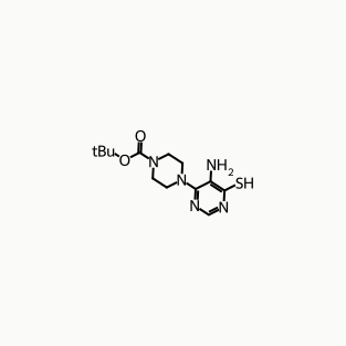 CC(C)(C)OC(=O)N1CCN(c2ncnc(S)c2N)CC1